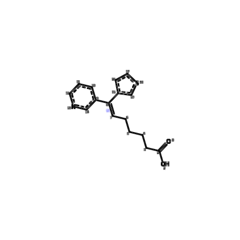 O=C(O)CCCC/C=C(/c1cccnc1)c1ccsc1